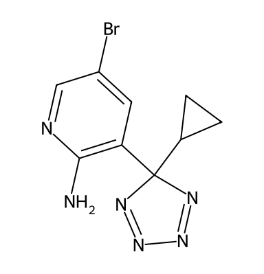 Nc1ncc(Br)cc1C1(C2CC2)N=NN=N1